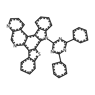 c1ccc(-c2nc(-c3ccccc3)nc(-n3c4ccccc4c4c5c6cccnc6cnc5c5c6ccccc6sc5c43)n2)cc1